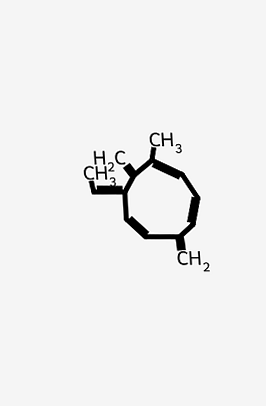 C=C1/C=C\C=C(\C)C(=C)C(=C\C)/C=C\1